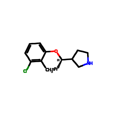 CCC[C@@H](Oc1cccc(Cl)c1C)C1CCNC1